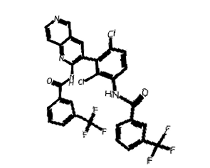 O=C(Nc1ccc(Cl)c(-c2cc3cnccc3nc2NC(=O)c2cccc(C(F)(F)F)c2)c1Cl)c1cccc(C(F)(F)F)c1